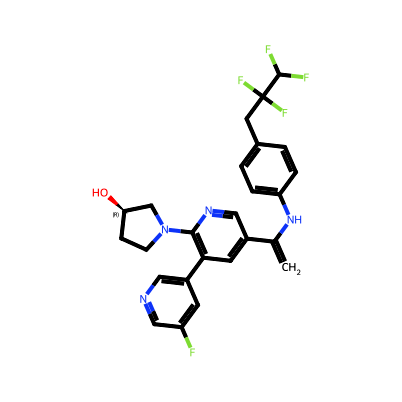 C=C(Nc1ccc(CC(F)(F)C(F)F)cc1)c1cnc(N2CC[C@@H](O)C2)c(-c2cncc(F)c2)c1